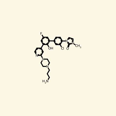 Cn1ccn(-c2ccc(-c3cc(F)cc(-c4ccnc(N5CCN(CCCN)CC5)c4)c3O)cc2Cl)c1=O